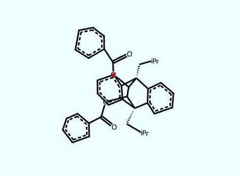 CC(C)C[C@]12c3ccccc3[C@](CC(C)C)(c3ccccc31)C(OC(=O)c1ccccc1)C2OC(=O)c1ccccc1